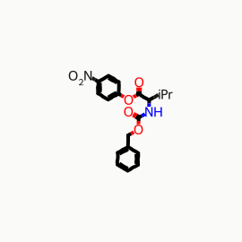 CC(C)C(NC(=O)OCc1ccccc1)C(=O)Oc1ccc([N+](=O)[O-])cc1